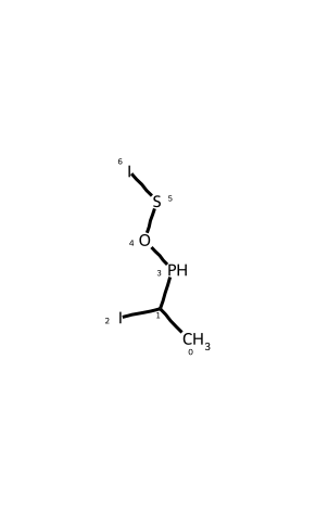 CC(I)POSI